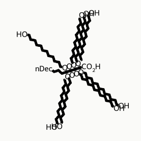 CCCCCCCCCCCCCC(OCCCCCCCCCCCCO)(OCCCCCCCCCCCCO)C(OCCCCCCCCCCCCO)(OCCCCCCCCCCCCO)C(OCCCCCCCCCCCCO)(OCCCCCCCCCCCCO)C(OCCCCCCCCCCCCO)(OCCCCCCCCCCCCO)C(=O)O